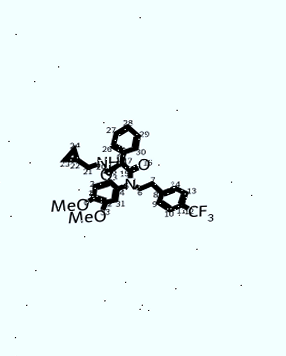 COc1ccc(N(CCc2ccc(C(F)(F)F)cc2)C(=O)C(C(=O)NCC2CC2)c2ccccc2)cc1OC